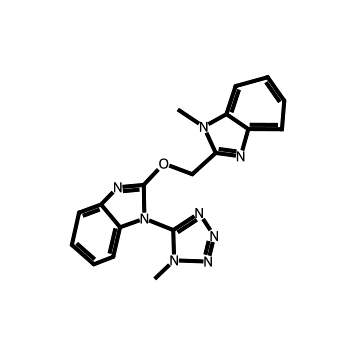 Cn1nnnc1-n1c(OCc2nc3ccccc3n2C)nc2ccccc21